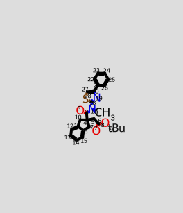 CN(C(=O)C1(CC(=O)OC(C)(C)C)Cc2ccccc2C1)c1nc(-c2ccccc2)cs1